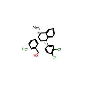 CN[C@H]1CC[C@@H](c2ccc(Cl)c(Cl)c2)c2ccccc21.Cl.OCc1ccccc1